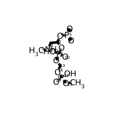 CNCC(OP(=O)=O)OP(=O)(O)OCOP(=O)(O)OC